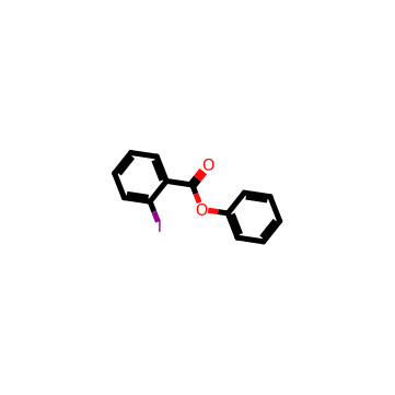 O=C(Oc1ccccc1)c1ccccc1I